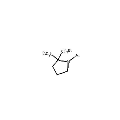 CCOC(=O)C1(C(=O)OCC)CCCN1C(C)=O